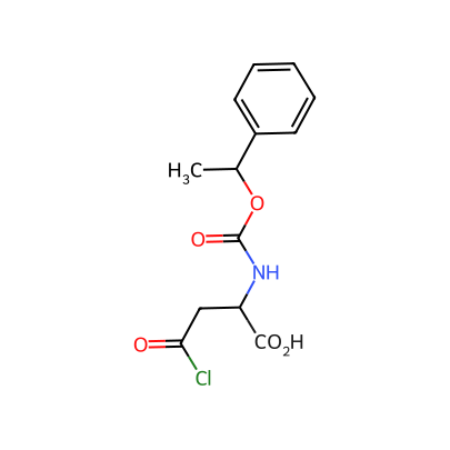 CC(OC(=O)NC(CC(=O)Cl)C(=O)O)c1ccccc1